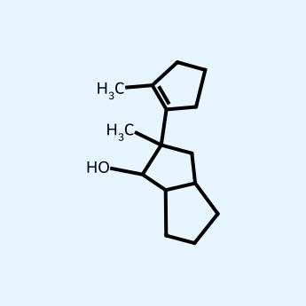 CC1=C(C2(C)CC3CCCC3C2O)CCC1